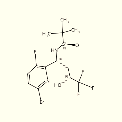 CC(C)(C)[S@@+]([O-])N[C@H](C[C@@H](O)C(F)(F)F)c1nc(Br)ccc1F